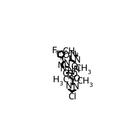 COc1ncnc(OC)c1-n1c(NS(=O)(=O)[C@@H](C)[C@H](OC)c2ncc(Cl)cn2)nnc1[C@@H]1CC[C@H](F)C1